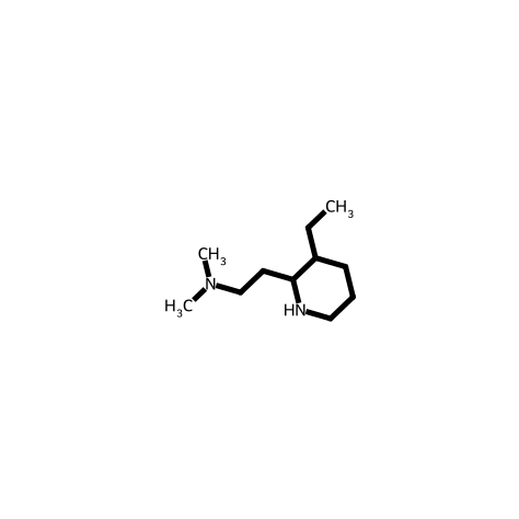 CCC1CCCNC1CCN(C)C